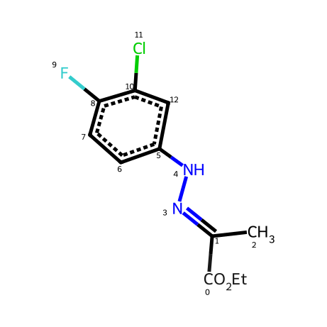 CCOC(=O)/C(C)=N/Nc1ccc(F)c(Cl)c1